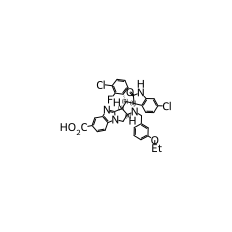 CCOc1cccc(CN2[C@H]3Cn4c(nc5cc(C(=O)O)ccc54)[C@H]3[C@H](c3cccc(Cl)c3F)[C@]23C(=O)Nc2cc(Cl)ccc23)c1